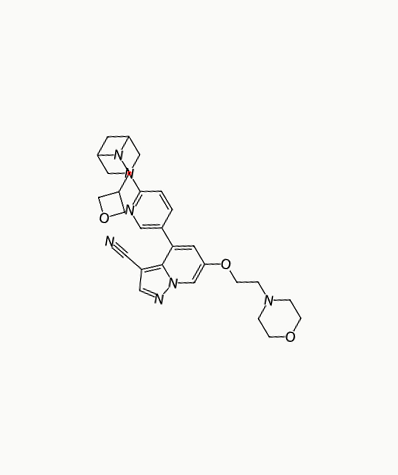 N#Cc1cnn2cc(OCCN3CCOCC3)cc(-c3ccc(N4CC5CC(C4)N5CC4COC4)nc3)c12